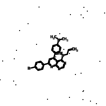 C=CCN(C=O)c1ncnc2nc(-c3ccc(Br)cc3)cc(-c3ccc(N(C)C)cc3)c12